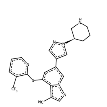 N#Cc1cnn2cc(-c3cnn([C@@H]4CCCNC4)c3)cc(Sc3ncccc3C(F)(F)F)c12